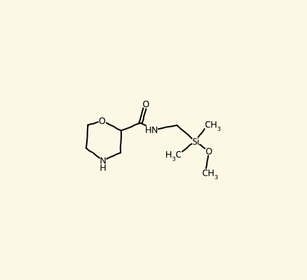 CO[Si](C)(C)CNC(=O)C1CNCCO1